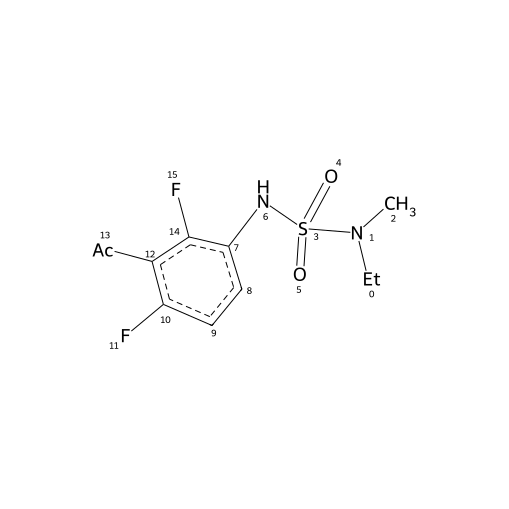 CCN(C)S(=O)(=O)Nc1ccc(F)c(C(C)=O)c1F